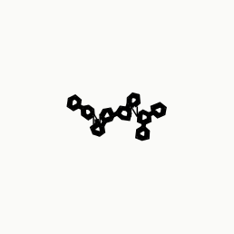 C1=CCCC(C2=CC=C(n3c4ccccc4c4cc(C5=Cc6c(n(C7=CC(c8ccccc8)=CC(c8ccccc8)C7)c7ccccc67)CC5)ccc43)CC2)=C1